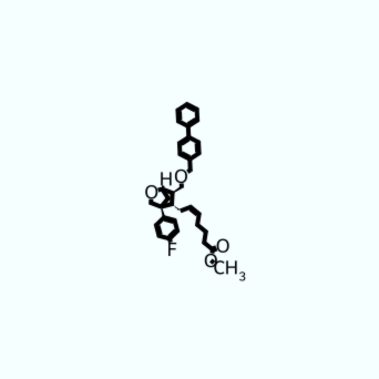 COC(=O)CCC/C=C\C[C@H]1[C@H](COCc2ccc(-c3ccccc3)cc2)[C@@H]2C[C@@]1(c1ccc(F)cc1)CO2